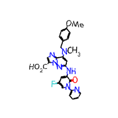 COc1ccc(CN(C)c2cc(Nc3cc(F)cn(-c4ccccn4)c3=O)nn3c(C(=O)O)cnc23)cc1